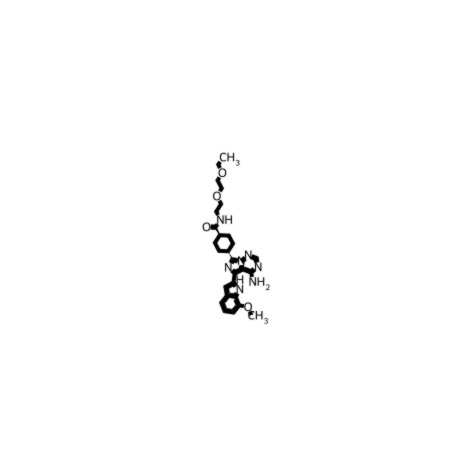 CCOCCOCCNC(=O)[C@H]1CC[C@H](c2nc(-c3cc4cccc(OC)c4[nH]3)c3c(N)ncnn32)CC1